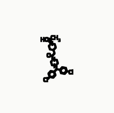 CB(O)N1CCC(CC(=O)N2CCN(C(c3ccc(Cl)cc3)c3ccc(Cl)cc3)CC2)CC1